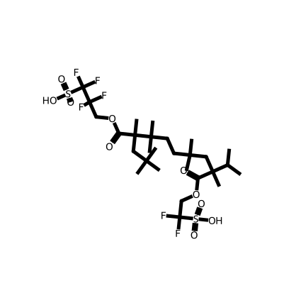 CC(C)C(C)(CC(C)(C)CCC(C)(C)C(C)(CC(C)(C)C)C(=O)OCC(F)(F)C(F)(F)S(=O)(=O)O)C(=O)OCC(F)(F)S(=O)(=O)O